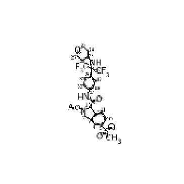 CC(=O)N1Cc2cc(S(C)(=O)=O)ccc2C1C(=O)Nc1ccc(C(NC2CCOCC2)(C(F)(F)F)C(F)(F)F)cc1